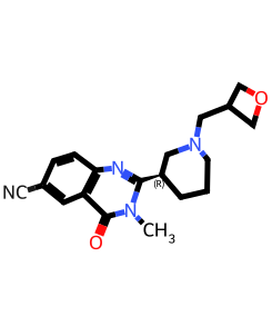 Cn1c([C@@H]2CCCN(CC3COC3)C2)nc2ccc(C#N)cc2c1=O